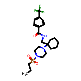 CCCS(=O)(=O)N1CCN(C2(CNC(=O)c3ccc(C(F)(F)F)cc3)CCCCC2)CC1